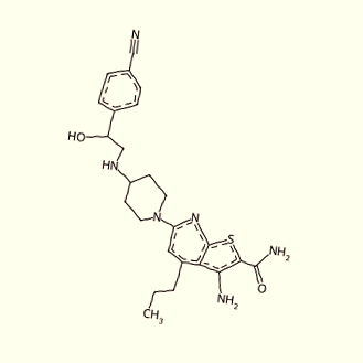 CCCc1cc(N2CCC(NCC(O)c3ccc(C#N)cc3)CC2)nc2sc(C(N)=O)c(N)c12